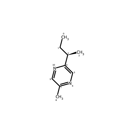 CC[C@@H](C)c1cnc(C)cn1